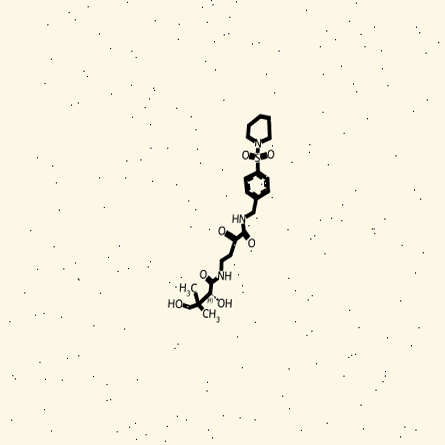 CC(C)(CO)[C@@H](O)C(=O)NCCC(=O)C(=O)NCc1ccc(S(=O)(=O)N2CCCCC2)cc1